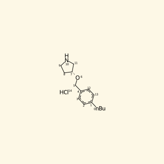 CCCCc1ccc(CO[C@@H]2CCNC2)cc1.Cl